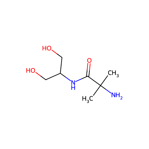 CC(C)(N)C(=O)NC(CO)CO